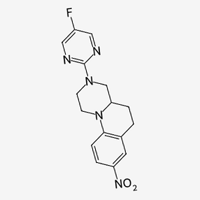 O=[N+]([O-])c1ccc2c(c1)CCC1CN(c3ncc(F)cn3)CCN21